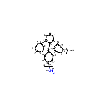 CC(C)(C)c1ccc(C2(c3ccc(C(C)(C)N)cc3)c3ccccc3-c3ccccc32)cc1